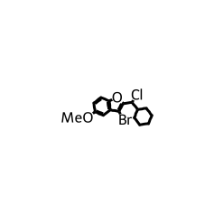 COc1ccc2oc(C(Cl)C3CCCCC3)c(Br)c2c1